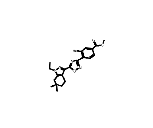 CCn1nc(-c2nc(-c3ccc(C(=O)OC)cc3Br)no2)c2c1CC(C)(C)CC2